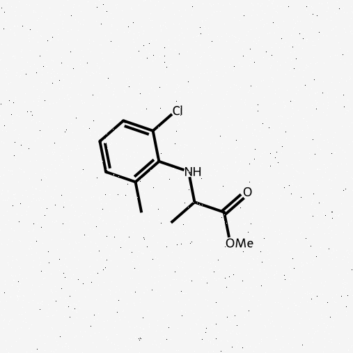 COC(=O)C(C)Nc1c(C)cccc1Cl